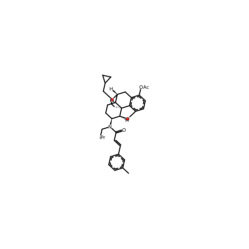 CC(=O)Oc1ccc2c3c1C[C@@H]1[C@@H]4CC[C@H](N(CC(C)C)C(=O)C=Cc5cccc(C)c5)[C@H](O2)[C@]34CCN1CC1CC1